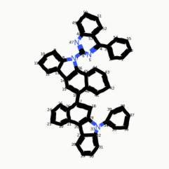 c1ccc(-c2nc(-n3c4ccccc4c4cc(-c5cc6c(c7ccccc57)c5ccccc5n6-c5ccccc5)c5ccccc5c43)nc3ccccc23)cc1